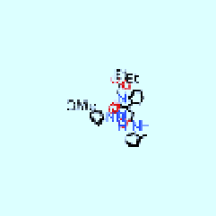 CCOC(CN1C(=O)C(CC(=O)Nc2ccccc2C)(NC(=O)Nc2cccc(OC)c2)c2ccccc21)OCC